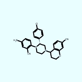 Bc1ccc(N2CCN(C3CCOc4cc(C#N)ccc43)C[C@H]2c2ccc(Cl)cc2)c(C#N)c1